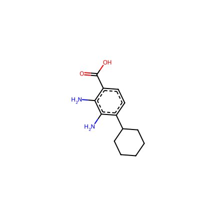 Nc1c(C(=O)O)ccc(C2CCCCC2)c1N